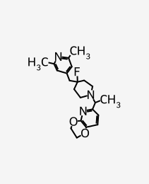 Cc1cc(CC2(F)CCN(C(C)c3ccc4c(n3)OCCO4)CC2)cc(C)n1